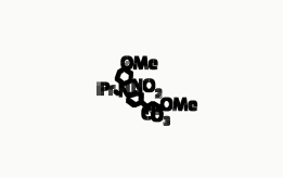 COC(=O)C[C@@H](C)c1ccc(N(CC(C)C)[C@H]2CC[C@@H](OC)CC2)c([N+](=O)[O-])c1